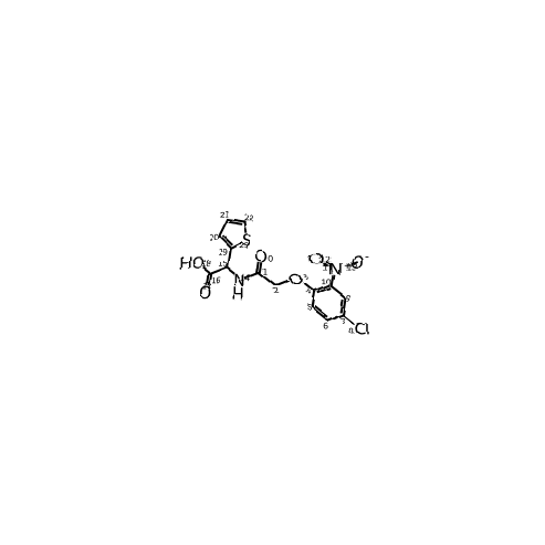 O=C(COc1ccc(Cl)cc1[N+](=O)[O-])NC(C(=O)O)c1cccs1